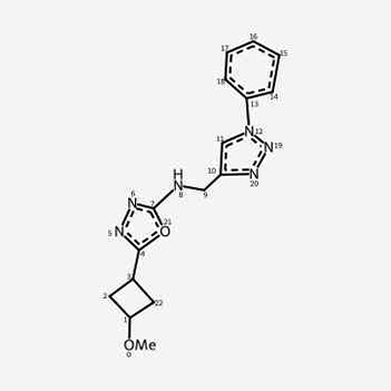 COC1CC(c2nnc(NCc3cn(-c4ccccc4)nn3)o2)C1